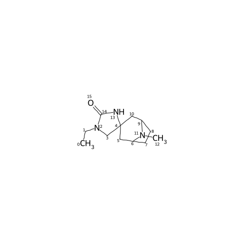 CCN1CC2(CC3CCC(C2)N3C)NC1=O